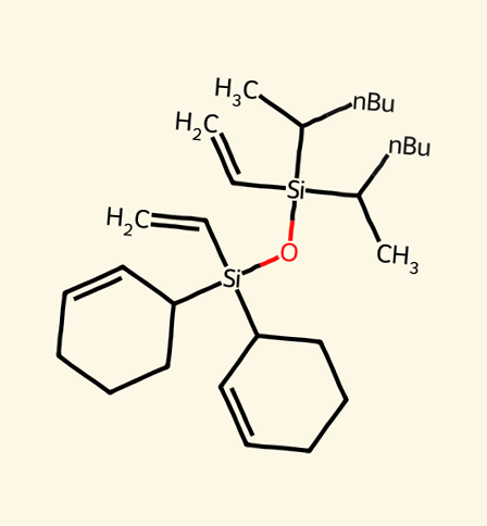 C=C[Si](O[Si](C=C)(C1C=CCCC1)C1C=CCCC1)(C(C)CCCC)C(C)CCCC